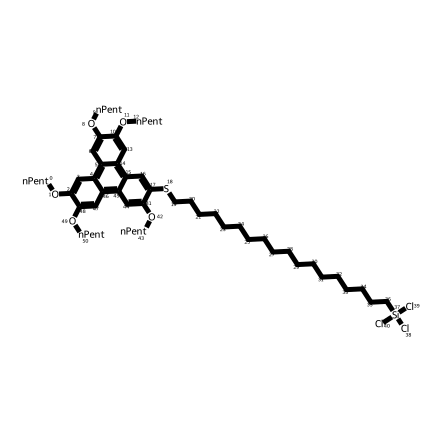 CCCCCOc1cc2c3cc(OCCCCC)c(OCCCCC)cc3c3cc(SCCCCCCCCCCCCCCCCCC[Si](Cl)(Cl)Cl)c(OCCCCC)cc3c2cc1OCCCCC